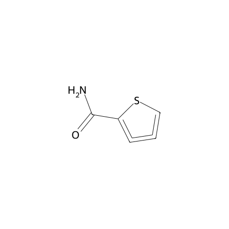 NC(=O)C1=C=C=CS1